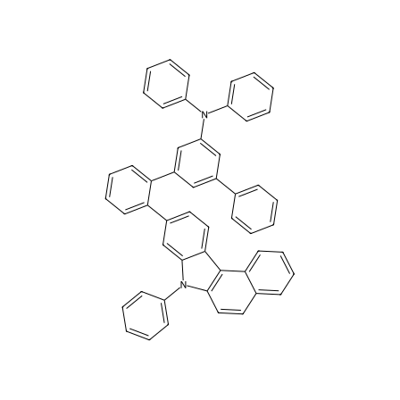 c1ccc(-c2cc(-c3ccccc3-c3ccc4c5c6ccccc6ccc5n(-c5ccccc5)c4c3)cc(N(c3ccccc3)c3ccccc3)c2)cc1